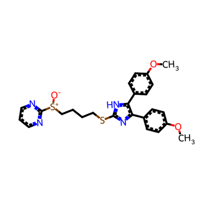 COc1ccc(-c2nc(SCCCC[S+]([O-])c3ncccn3)[nH]c2-c2ccc(OC)cc2)cc1